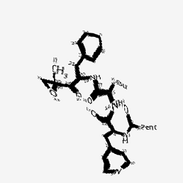 CCCCCC(=O)NC(Cc1ccncc1)C(=O)NC(CCCC)C(=O)NC(Cc1ccccc1)C(=O)[C@@]1(C)CO1